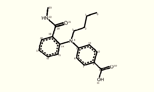 CCCCN(c1ccc(C(=O)O)cc1)c1ccccc1C(=O)NC